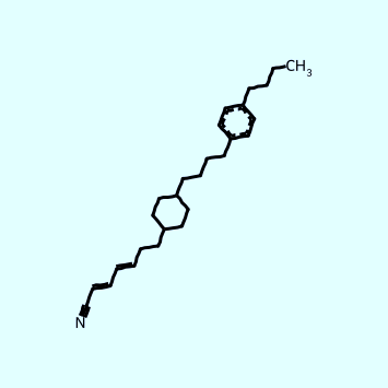 CCCCc1ccc(CCCCC2CCC(CCC=CC=CC#N)CC2)cc1